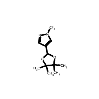 CC1(C)OC(c2cnn(C(F)(F)F)c2)OC1(C)C